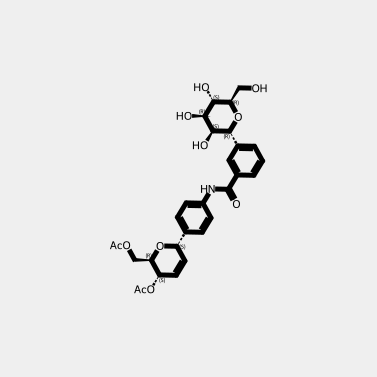 CC(=O)OC[C@H]1O[C@H](c2ccc(NC(=O)c3cccc([C@H]4O[C@H](CO)[C@@H](O)[C@H](O)[C@@H]4O)c3)cc2)C=C[C@@H]1OC(C)=O